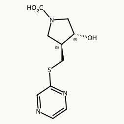 O=C(O)N1C[C@H](CSc2cnccn2)[C@@H](O)C1